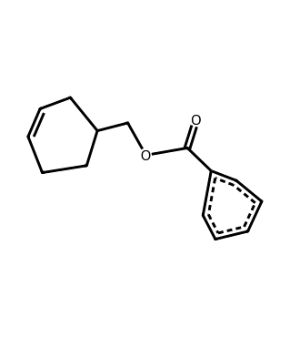 O=C(OCC1CC=CCC1)c1ccccc1